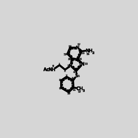 CC(=O)NCCn1c(Sc2ccccc2C)nc2c(N)nccc21